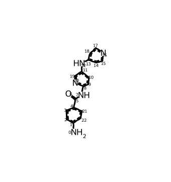 Nc1ccc(C(=O)Nc2ccc(Nc3ccncc3)cn2)cc1